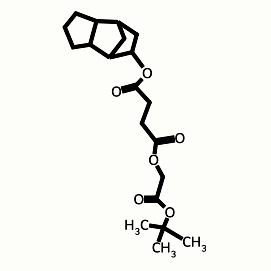 CC(C)(C)OC(=O)COC(=O)CCC(=O)OC1CC2CC1C1CCCC21